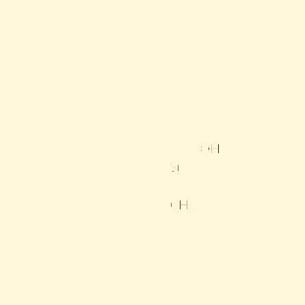 C[Si](O)c1ccccc1